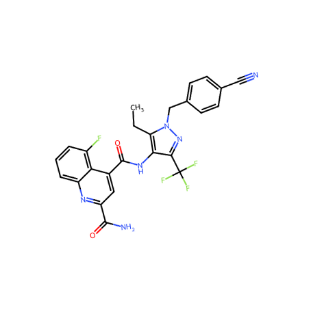 CCc1c(NC(=O)c2cc(C(N)=O)nc3cccc(F)c23)c(C(F)(F)F)nn1Cc1ccc(C#N)cc1